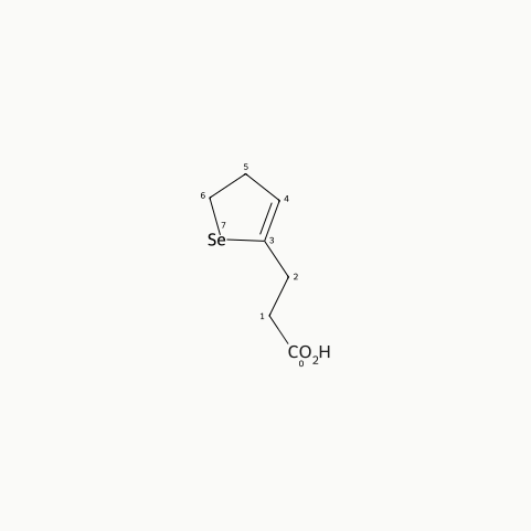 O=C(O)CCC1=CCC[Se]1